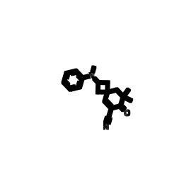 CN(c1ccccc1)C1CC2(C=C(C#N)C(=O)C(C)(C)C2)C1